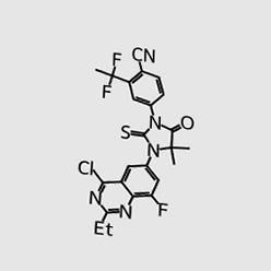 CCc1nc(Cl)c2cc(N3C(=S)N(c4ccc(C#N)c(C(C)(F)F)c4)C(=O)C3(C)C)cc(F)c2n1